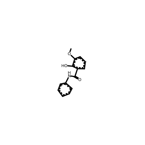 COc1c[c]cc(C(=O)Nc2ccccc2)c1O